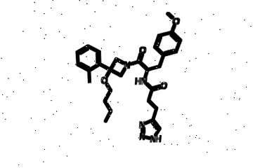 CCCCOC1(c2ccccc2C)CN(C(=O)C(Cc2ccc(OC)cc2)NC(=O)CCc2c[nH]nn2)C1